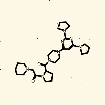 O=C(C1CCCN1C(=O)CN1CCCCC1)N1CCN(c2cc(N3CCCC3)nc(N3CCCC3)n2)CC1